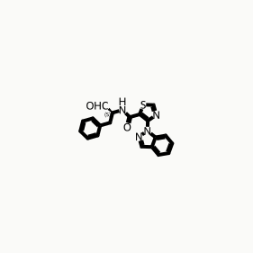 O=C[C@H](Cc1ccccc1)NC(=O)c1scnc1-n1ncc2ccccc21